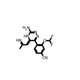 CC(=N)/C=C1\NC(N)=NN=C1c1ccc(C#N)cc1OC(F)F